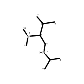 CC(C)NCC(C(C)C)N(C)C